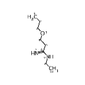 [CH2]CCOCCC(=N)NCC